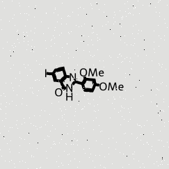 COc1ccc(-c2nc3ccc(I)cc3c(=O)[nH]2)c(OC)c1